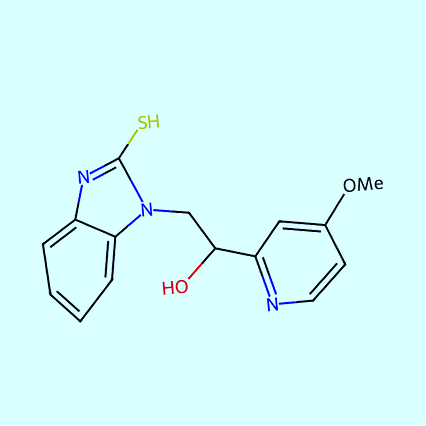 COc1ccnc(C(O)Cn2c(S)nc3ccccc32)c1